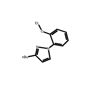 CCCCc1c[c]n(-c2ccccc2OCC)n1